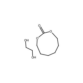 O=C1OCCCCCCO1.OCCO